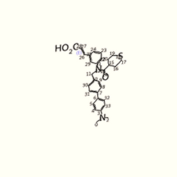 CN(C)c1ccc(-c2ccc(CN(C(=O)C3CCSCC3)c3cccc(/C=C/C(=O)O)c3)cc2)cc1